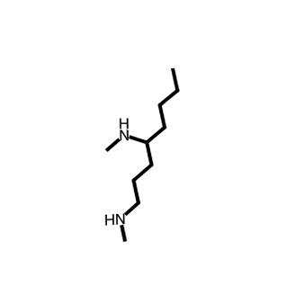 CCCCC(CCCNC)NC